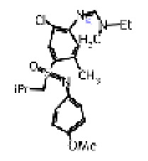 CCN(C)/C=N\c1cc(C)c(S(=O)(CC(C)C)=Nc2ccc(OC)cc2)cc1Cl